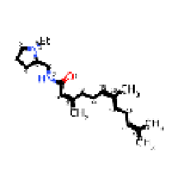 CCN1CCCC1CNC(=O)C=C(C)CCC=C(C)CCC=C(C)C